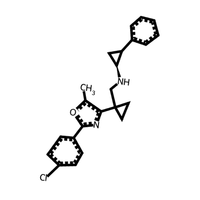 Cc1oc(-c2ccc(Cl)cc2)nc1C1(CN[C@H]2CC2c2ccccc2)CC1